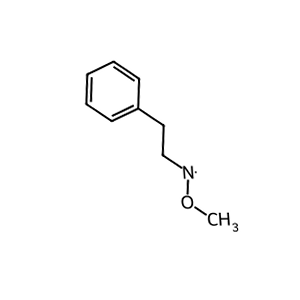 CO[N]CCc1ccccc1